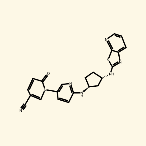 N#Cc1ccc(=O)n(-c2ccc(N[C@H]3CC[C@H](Nc4nc5cccnc5s4)C3)nc2)c1